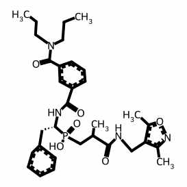 CCCN(CCC)C(=O)c1cccc(C(=O)N[C@@H](Cc2ccccc2)P(=O)(O)CC(C)C(=O)NCc2c(C)noc2C)c1